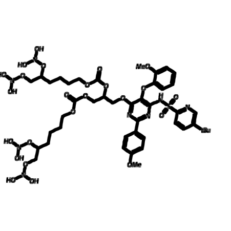 COc1ccc(-c2nc(NS(=O)(=O)c3ccc(C(C)(C)C)cn3)c(Oc3ccccc3OC)c(OCC(COC(=O)OCCCCC(CON(O)O)ON(O)O)OC(=O)OCCCCC(CON(O)O)ON(O)O)n2)cc1